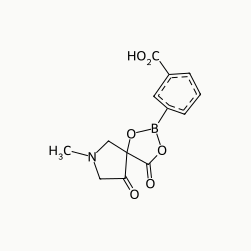 CN1CC(=O)C2(C1)OB(c1cccc(C(=O)O)c1)OC2=O